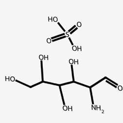 NC(C=O)C(O)C(O)C(O)CO.O=S(=O)(O)O